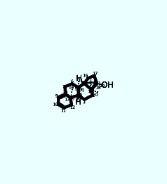 C[C@]12CC[C@H]3[C@@H](CCC4=CC=CC[C@@]43C)[C@@H]1CC[C@@H]2O